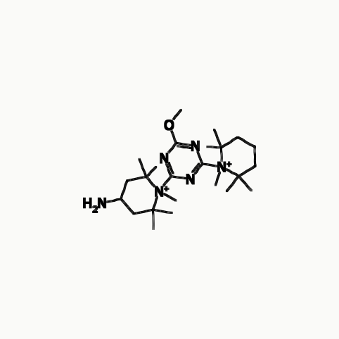 COc1nc([N+]2(C)C(C)(C)CCCC2(C)C)nc([N+]2(C)C(C)(C)CC(N)CC2(C)C)n1